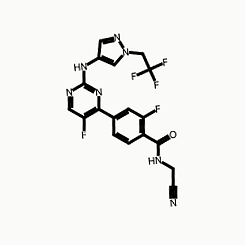 N#CCNC(=O)c1ccc(-c2nc(Nc3cnn(CC(F)(F)F)c3)ncc2F)cc1F